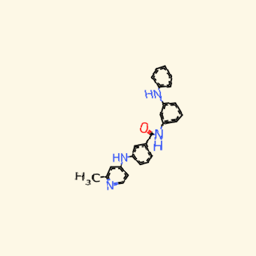 Cc1cc(Nc2cccc(C(=O)Nc3cccc(Nc4ccccc4)c3)c2)ccn1